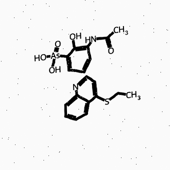 CC(=O)Nc1cccc([As](=O)(O)O)c1O.CCSc1ccnc2ccccc12